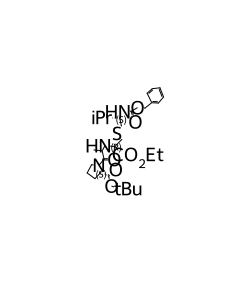 CCOC(=O)[C@H](CSC[C@@H](NC(=O)OCc1ccccc1)C(C)C)NC(C)C(=O)N1CCC[C@H]1C(=O)OC(C)(C)C